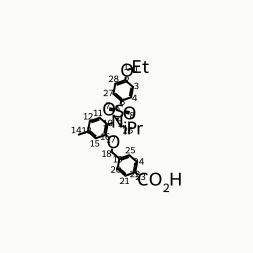 CCOc1ccc(S(=O)(=O)N(c2ccc(C)cc2OCc2ccc(C(=O)O)cc2)C(C)C)cc1